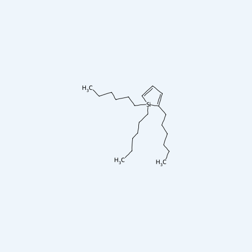 CCCCCCC1=CC=C[Si]1(CCCCCC)CCCCCC